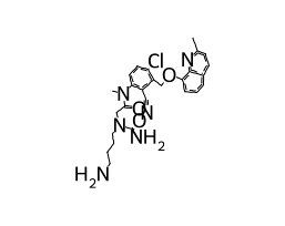 Cc1ccc2cccc(OCc3c(Cl)ccc(N(C)C(=O)CN(CCCCN)C(N)=O)c3C#N)c2n1